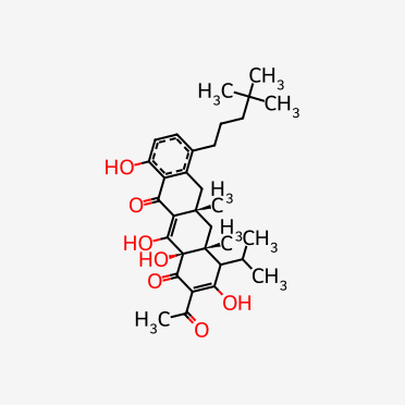 CC(=O)C1=C(O)C(C(C)C)[C@@]2(C)C[C@@]3(C)Cc4c(CCCC(C)(C)C)ccc(O)c4C(=O)C3=C(O)[C@@]2(O)C1=O